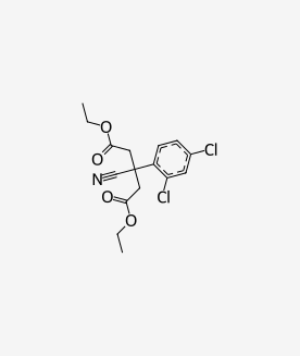 CCOC(=O)CC(C#N)(CC(=O)OCC)c1ccc(Cl)cc1Cl